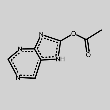 CC(=O)Oc1nc2ncncc2[nH]1